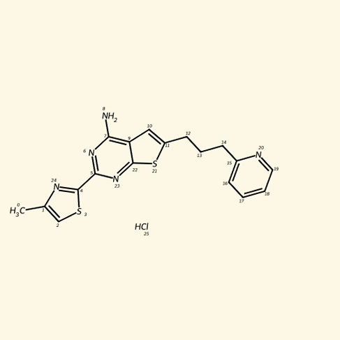 Cc1csc(-c2nc(N)c3cc(CCCc4ccccn4)sc3n2)n1.Cl